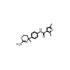 Cc1cc(C(=O)Nc2ccc(C3(C)CCSC(N)=N3)cc2)c(C)o1